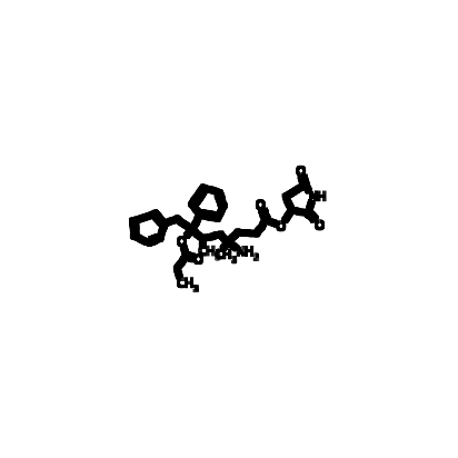 CCC(=O)OC(Cc1ccccc1)(c1ccccc1)C(C)CC(C)(N)CCC(=O)OC1CC(=O)NC1=O